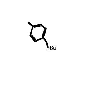 C[CH]CCCc1ccc(C)cc1